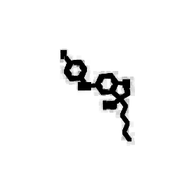 CCCCCC1(O)C=Nc2ccc(Nc3ccc(F)cc3)cc21